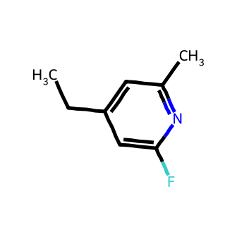 CCc1cc(C)nc(F)c1